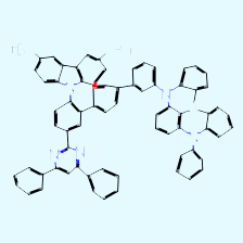 CC(C)(C)c1ccc2c(c1)c1cc(C(C)(C)C)ccc1n2-c1ccc(-c2nc(-c3ccccc3)cc(-c3ccccc3)n2)cc1-c1ccc(-c2cccc(N3c4ccccc4B4c5ccccc5N(c5ccccc5)c5cccc3c54)c2)cc1